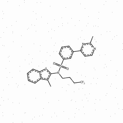 Cc1nccc(-c2cccc(S(=O)(=O)N(CCCC(F)(F)F)c3sc4ccccc4c3C)c2)n1